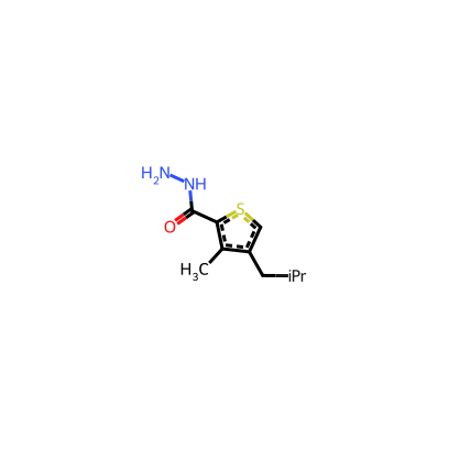 Cc1c(CC(C)C)csc1C(=O)NN